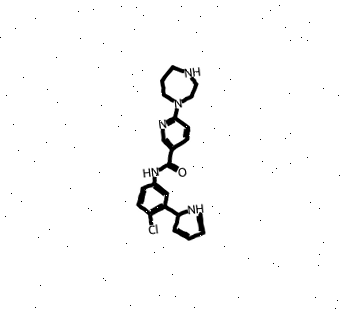 O=C(Nc1ccc(Cl)c(C2C=CC=CN2)c1)c1ccc(N2CCCNCC2)nc1